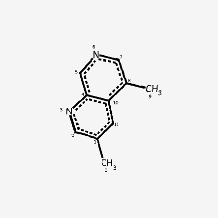 Cc1cnc2cncc(C)c2c1